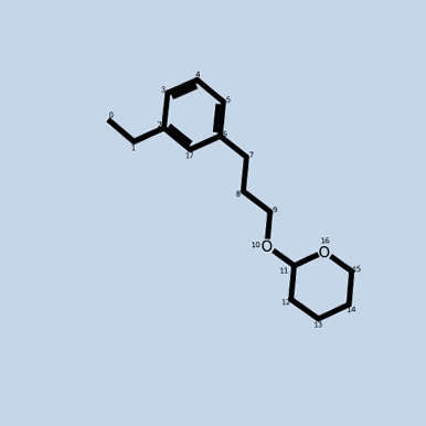 CCc1cccc(CCCOC2CCCCO2)c1